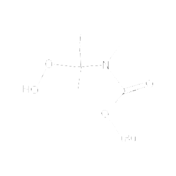 CN(C(=O)OC(C)(C)C)C(C)(C)OO